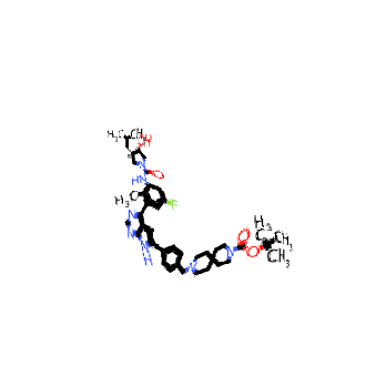 Cc1c(NC(=O)N2C[C@H](CC(C)C)[C@@H](O)C2)cc(F)cc1-c1ncnc2[nH]c(-c3ccc(CN4CCC5(CC4)CCN(C(=O)OC(C)(C)C)CC5)cc3)cc12